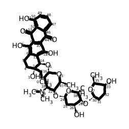 CC[C@@]1(O)CCc2c(O)c3c(c(O)c2[C@H]1O[C@H]1C[C@H](N(C)C)[C@@H](O[C@H]2C[C@H](O)[C@@H](O[C@H]4CC[C@H](O)[C@H](C)O4)[C@H](C)O2)[C@H](C)O1)C(=O)c1cccc(O)c1C3=O